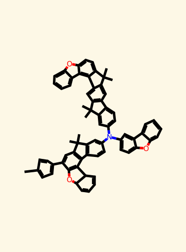 Cc1ccc(-c2cc3c(c4c2OC2C=CC=CC42)-c2ccc(N(c4ccc5c(c4)C(C)(C)c4cc6c(cc4-5)C(C)(C)c4ccc5oc7ccccc7c5c4-6)c4ccc5oc6ccccc6c5c4)cc2C3(C)C)cc1